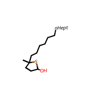 CCCCCCCCCCCCCC1(C)CCC(O)S1